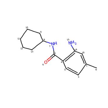 Cc1ccc(C(=O)NC2CCCCC2)c(N)c1